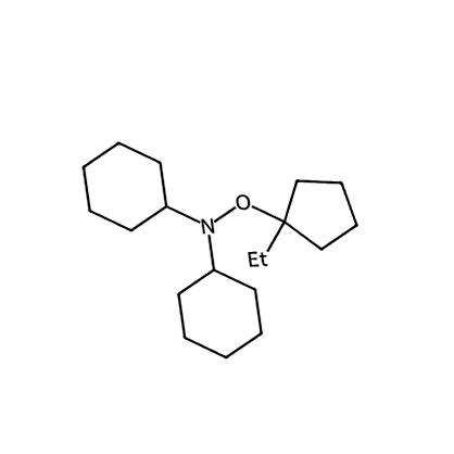 CCC1(ON(C2CCCCC2)C2CCCCC2)CCCC1